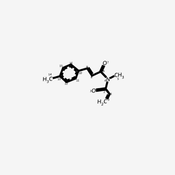 C=CC(=O)N(C)C(=O)C=Cc1ccc(C)cc1